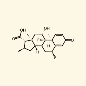 C[C@@H]1C[C@H]2[C@@H]3C[C@H](F)C4=CC(=O)C=C[C@]4(C)[C@@]3(F)[C@@H](O)C[C@]2(C)[C@H]1C(=O)O